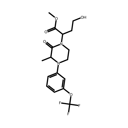 COC(=O)C(CCO)N1CCN(c2cccc(OC(F)(F)F)c2)C(C)C1=O